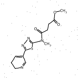 COC(=O)CCC(=O)N(C)c1nnc(C2=CCCN=C2)s1